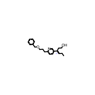 CC/C=C(\CCO)c1ccc(CCCOCc2ccccc2)nc1